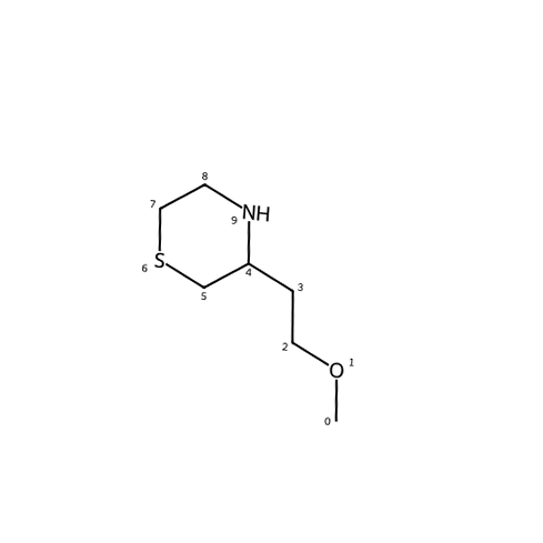 COCCC1CSCCN1